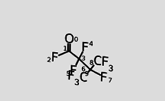 O=C(F)C(F)(F)C(F)(C(F)(F)F)C(F)(F)F